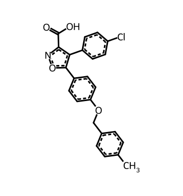 Cc1ccc(COc2ccc(-c3onc(C(=O)O)c3-c3ccc(Cl)cc3)cc2)cc1